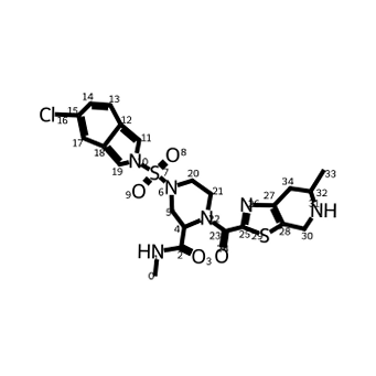 CNC(=O)C1CN(S(=O)(=O)n2cc3ccc(Cl)cc3c2)CCN1C(=O)c1nc2c(s1)CNC(C)C2